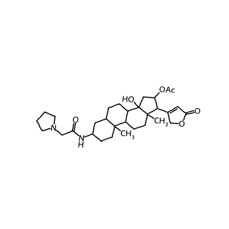 CC(=O)OC1CC2(O)C3CCC4CC(NC(=O)CN5CCCC5)CCC4(C)C3CCC2(C)C1C1=CC(=O)OC1